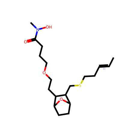 C/C=C/CCSCC1C2CCC(O2)C1CCOCCCC(=O)N(C)O